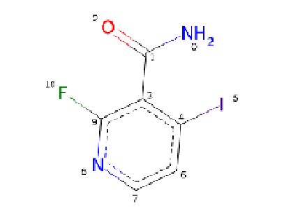 NC(=O)c1c(I)ccnc1F